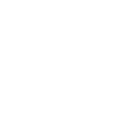 Cc1cc(C2=Cc3c(ccc(C)c3-c3ccc(C(C)(C)C)cc3)[CH]2[Zr]([Cl])([Cl])([CH]2C(c3cc(C)c(C)o3)=Cc3c2ccc(C)c3-c2ccc(C(C)(C)C)cc2)=[Si](C)C)oc1C